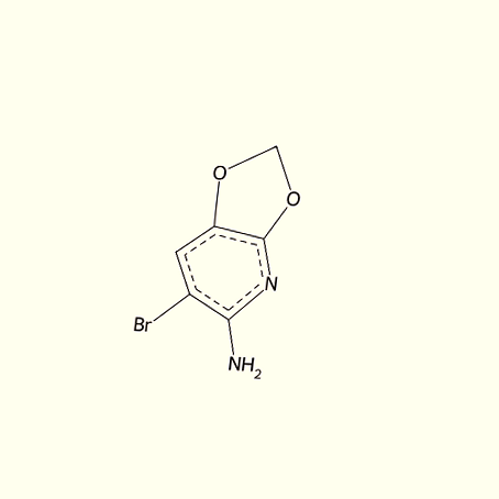 Nc1nc2c(cc1Br)OCO2